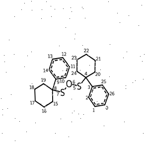 c1ccc(C2(SOSC3(c4ccccc4)CCCCC3)CCCCC2)cc1